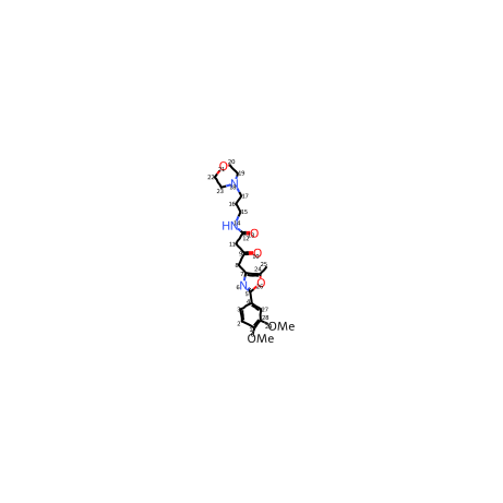 COc1ccc(-c2nc(CC(=O)CC(=O)NCCCN3CCOCC3)c(C)o2)cc1OC